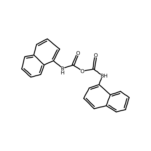 O=C(Bc1cccc2ccccc12)OC(=O)Bc1cccc2ccccc12